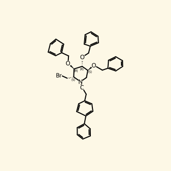 BrC[C@@H]1[C@@H](OCc2ccccc2)[C@H](OCc2ccccc2)[C@@H](OCc2ccccc2)CN1CCc1ccc(-c2ccccc2)cc1